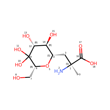 C[C@](N)(C[C@@H]1O[C@H](CO)C(O)(O)[C@H](O)[C@H]1O)C(=O)O